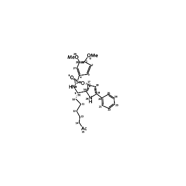 COc1ccc(S(=O)(=O)N[C@@H](CCCCCC(C)=O)c2ncc(-c3ccccc3)[nH]2)cc1OC